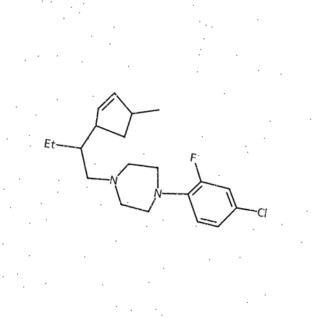 CCC(CN1CCN(c2ccc(Cl)cc2F)CC1)C1C=CC(C)C1